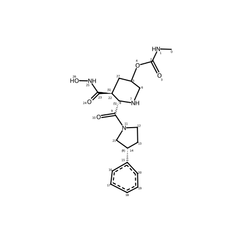 CNC(=O)OC1CN[C@H](C(=O)N2CC[C@H](c3ccccc3)C2)[C@@H](C(=O)NO)C1